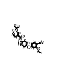 CCOc1cc(O[C@H]2CC[C@H](NC(=O)C(=C/N=C(C)C)/N=N\C)CC2)ccc1C#N